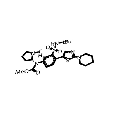 COC(=O)N(c1ccc(-c2cnc(N3CC[CH]CC3)s2)c(S(=O)(=O)NC(C)(C)C)c1)[C@@H]1CCCN1C